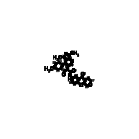 Cc1nn(C)c2ncc(N(C=O)C(=O)Nc3ccc(Cl)c(C(=O)N4CCOCC4)c3)c(N3CCN(C)CC3)c12